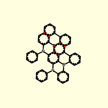 c1ccc(-c2ccccc2B2c3ccccc3N(c3ccccc3)c3cc4c(cc32)B(c2ccccc2-c2ccccc2)c2ccccc2N4c2ccccc2)cc1